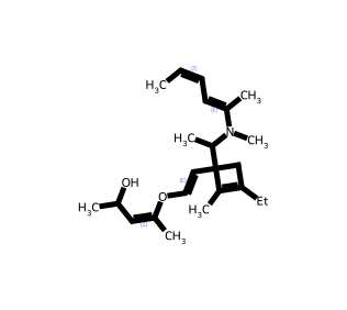 C/C=C\C=C(/C)N(C)C(C)C1(/C=C/O/C(C)=C\C(C)O)CC(CC)=C1C